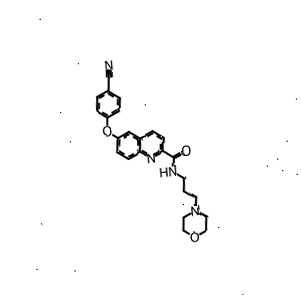 N#Cc1ccc(Oc2ccc3nc(C(=O)NCCCN4CCOCC4)ccc3c2)cc1